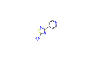 Nc1nc(-c2ccncc2)ns1